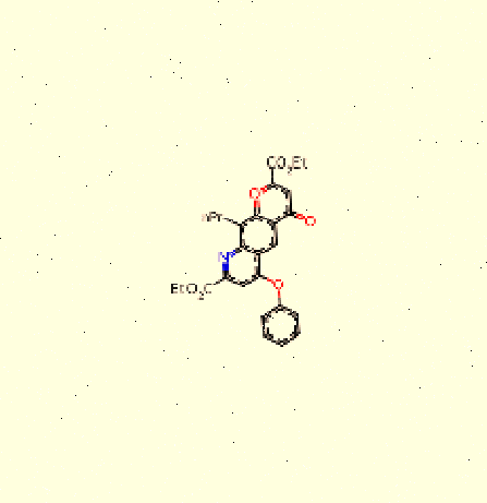 CCCc1c2nc(C(=O)OCC)cc(Oc3ccccc3)c2cc2c(=O)cc(C(=O)OCC)oc12